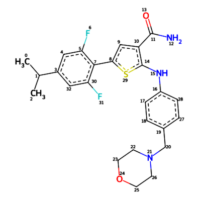 CC(C)c1cc(F)c(-c2cc(C(N)=O)c(Nc3ccc(CN4CCOCC4)cc3)s2)c(F)c1